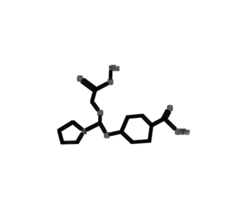 COC(=O)C1CCC(OC(OCC(=O)OC(C)(C)C)N2CCCC2)CC1